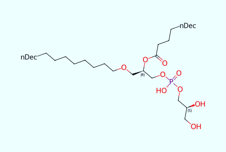 CCCCCCCCCCCCCCCCCCOC[C@H](COP(=O)(O)OC[C@@H](O)CO)OC(=O)CCCCCCCCCCCCC